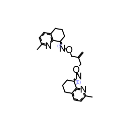 C=C(CO/N=C1\CCCc2ccc(C)nc21)CO/N=C1\CCCc2ccc(C)nc21